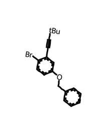 [CH2]C(C)(C)C#Cc1cc(OCc2ccccc2)ccc1Br